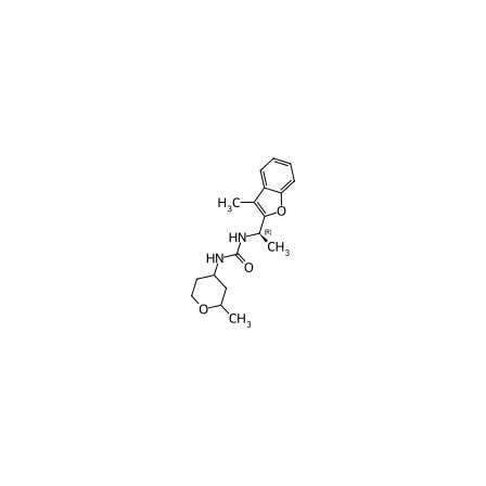 Cc1c([C@@H](C)NC(=O)NC2CCOC(C)C2)oc2ccccc12